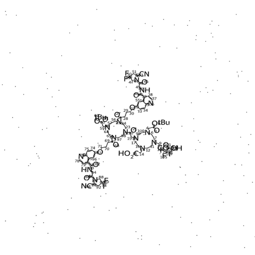 CC(C)(C)OC(=O)CN1CCN(CC(=O)O)CCN(CC(=O)O)CCN(CC(=O)N2CCN(C(=O)CCCOc3ccc4nccc(C(=O)NCC(=O)N5CC(F)(F)C[C@H]5C#N)c4c3)CCN(CC(=O)OC(C)(C)C)CCN(C(=O)CCCOc3ccc4nccc(C(=O)NCC(=O)N5CC(F)(F)C[C@H]5C#N)c4c3)CC2)CC1.O=C(O)C(F)(F)F